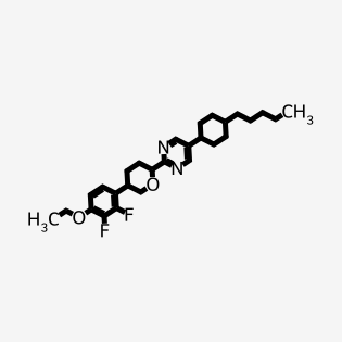 CCCCCC1CCC(c2cnc(C3CCC(c4ccc(OCC)c(F)c4F)CO3)nc2)CC1